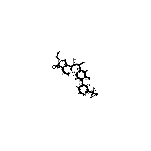 CCN1Cc2c(ccnc2NC(C)c2ccc(-c3ccnc(C(F)(F)F)c3)c(F)c2)C1=O